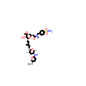 CC(=O)O[C@@H](C)/C=C\C(=O)N[C@@H]1C[C@H](C)[C@H](C/C=C(C)/C=C/[C@H]2O[C@H](CC(=O)N(C)Cc3ccc(S(N)(=O)=O)cc3)C[C@@]3(CO3)[C@@H]2O)O[C@@H]1C